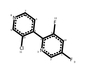 Fc1cnc(-c2ccn[c]c2Cl)c(F)c1